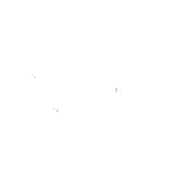 CCCNc1cccc(CNC(=O)C2CCCN2S(=O)(=O)c2ccc(F)cc2)c1